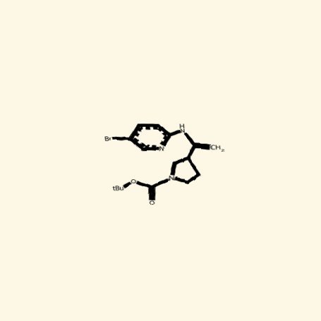 C=C(Nc1ccc(Br)cn1)C1CCN(C(=O)OC(C)(C)C)C1